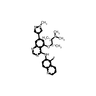 C[C@H](Oc1cc(-c2cnn(C)c2)cc2ncnc(Nc3ccc4ncccc4c3F)c12)[C@H](C)N(C)C